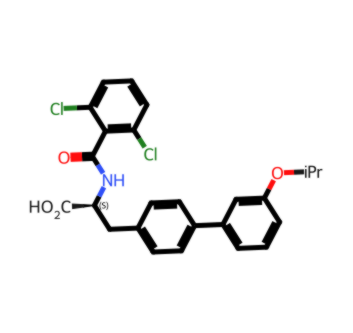 CC(C)Oc1cccc(-c2ccc(C[C@H](NC(=O)c3c(Cl)cccc3Cl)C(=O)O)cc2)c1